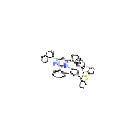 c1ccc(-c2cc(-c3cccc4ccccc34)nc(-c3ccccc3-c3ccc4c(c3)-c3c(sc5ccccc35)C43c4ccccc4-c4ccccc43)n2)cc1